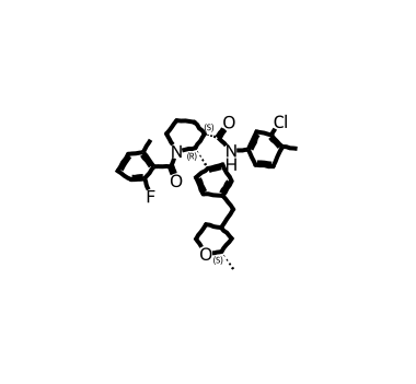 Cc1ccc(NC(=O)[C@H]2CCCN(C(=O)c3c(C)cccc3F)[C@H]2c2ccc(CC3CCO[C@@H](C)C3)cc2)cc1Cl